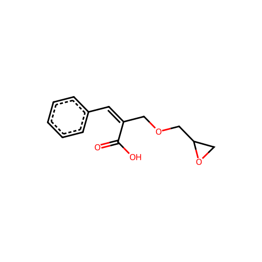 O=C(O)C(=Cc1ccccc1)COCC1CO1